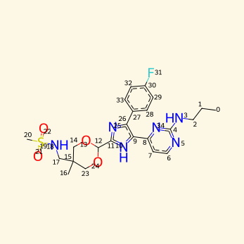 CCCNc1nccc(-c2[nH]c(C3OCC(C)(CNS(C)(=O)=O)CO3)nc2-c2ccc(F)cc2)n1